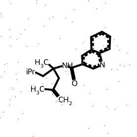 C=C(C)CC(C)(CC(C)C)NC(=O)c1cnc2ccccc2c1